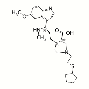 CN[C@H](CC[C@@H]1CCN(CCSC2CCCC2)C[C@@H]1C(=O)O)c1ccnc2ccc(OC)cc12